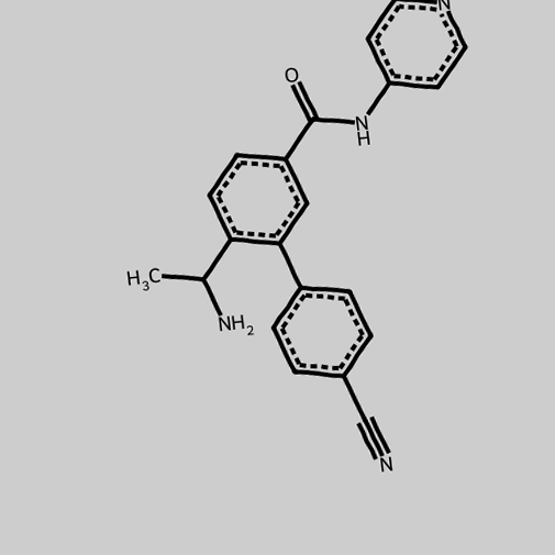 CC(N)c1ccc(C(=O)Nc2ccncc2)cc1-c1ccc(C#N)cc1